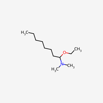 CCCCCCCC(OCC)N(C)C